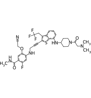 CNC(=O)c1cc(OCC#N)c(NCC#Cc2sc3c(NC4CCN(C(=O)CN(C)C)CC4)cccc3c2CC(F)(F)F)cc1F